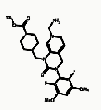 COc1cc(OC)c(F)c(N2CC3=CCN(CN)C=C3N(CC3CCN(C(=O)OC(C)(C)C)CC3)C2=O)c1F